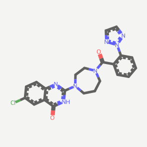 O=C(c1ccccc1-n1nccn1)N1CCCN(c2nc3ccc(Cl)cc3c(=O)[nH]2)CC1